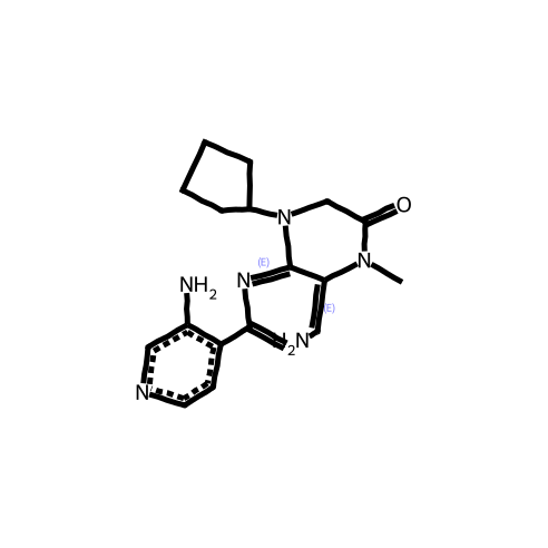 C=C(/N=C1\C(=C/N)N(C)C(=O)CN1C1CCCC1)c1ccncc1N